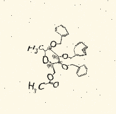 CC(=O)OC[C@H]1OC(C)[C@H](OCc2ccccc2)[C@@H](OCc2ccccc2)[C@@H]1OCc1ccccc1